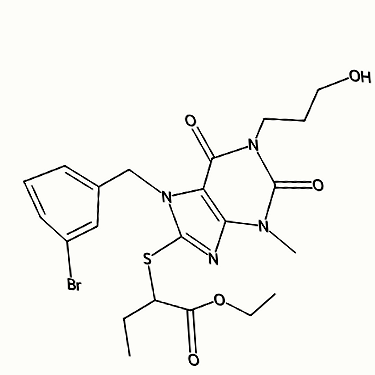 CCOC(=O)C(CC)Sc1nc2c(c(=O)n(CCCO)c(=O)n2C)n1Cc1cccc(Br)c1